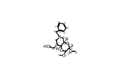 CO[C@@]1(C)O[C@@H]2[C@@H](CO)CN(Cc3ccccc3)C[C@H]2O[C@]1(C)OC